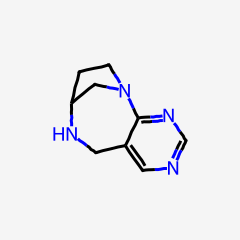 c1ncc2c(n1)N1CCC(C1)NC2